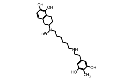 CCCN(CCCCCCNCCc1cc(O)c(C)c(O)c1)C1CCc2c(ccc(O)c2O)C1